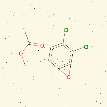 COC(C)=O.Clc1ccc2c(c1Cl)O2